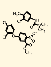 COC(=O)c1cc(Oc2ccc(Cl)cc2Cl)ccc1[N+](=O)[O-].Cc1ccc(NC(=O)N(C)C)cc1Cl